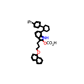 CC(C)c1ccc(C2=C(c3cccc4c(CCCOc5cccc6ccccc56)c(OC(=O)O)[nH]c34)CCCC2)cc1